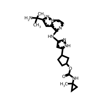 CC1(NC(=O)OC2CCC(c3cc(Nc4nccn5nc(C(C)(C)N)cc45)n[nH]3)C2)CC1